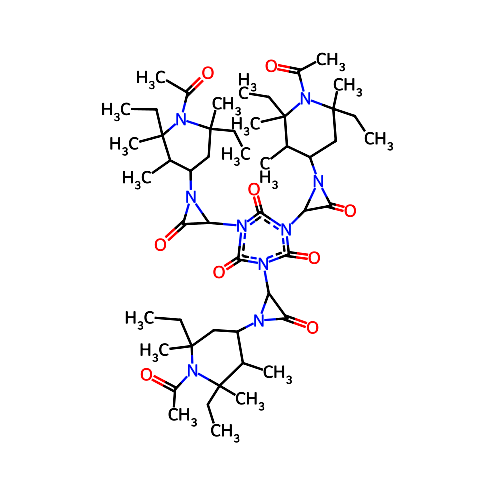 CCC1(C)CC(N2C(=O)C2n2c(=O)n(C3C(=O)N3C3CC(C)(CC)N(C(C)=O)C(C)(CC)C3C)c(=O)n(C3C(=O)N3C3CC(C)(CC)N(C(C)=O)C(C)(CC)C3C)c2=O)C(C)C(C)(CC)N1C(C)=O